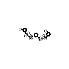 O=C(Cc1cccc(Cl)c1)Nc1nnc([C@@H]2CCC[C@@H](c3nnc(NC(=O)Cc4cccc(Cl)c4)s3)C2)s1